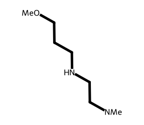 CNCCNCCCOC